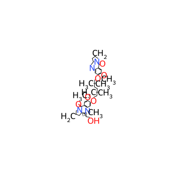 C=C1CC2C=Nc3cc(OCC(C)(C)CCC(C)(C)CCOc4cc5c(cc4OC)C(=O)N4CC(=C)CC4[C@H](CCO)N5C)c(OC)cc3C(=O)N2C1